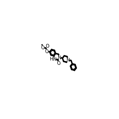 COC(=O)Oc1ccc2c(c1)NC(=O)N(C1CCN(Cc3ccccc3)CC1)C2